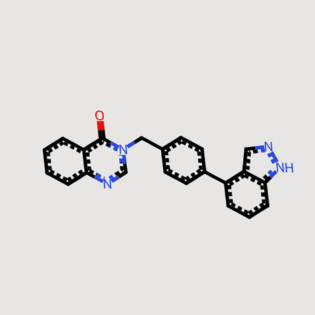 O=c1c2ccccc2ncn1Cc1ccc(-c2cccc3[nH]ncc23)cc1